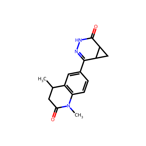 CC1CC(=O)N(C)c2ccc(C3=NNC(=O)C4CC34)cc21